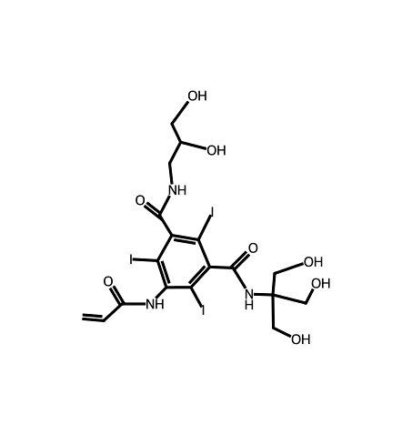 C=CC(=O)Nc1c(I)c(C(=O)NCC(O)CO)c(I)c(C(=O)NC(CO)(CO)CO)c1I